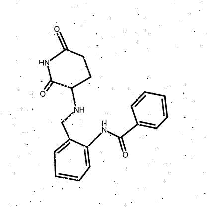 O=C1CCC(NCc2ccccc2NC(=O)c2ccccc2)C(=O)N1